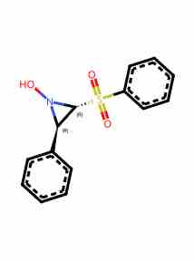 O=S(=O)(c1ccccc1)[C@@H]1[C@@H](c2ccccc2)N1O